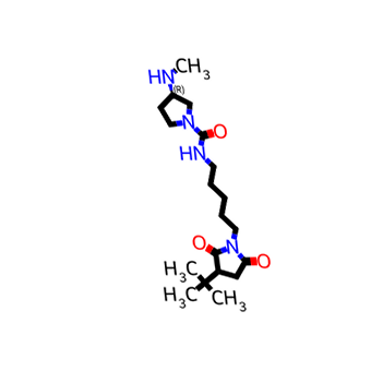 CN[C@@H]1CCN(C(=O)NCCCCCN2C(=O)CC(C(C)(C)C)C2=O)C1